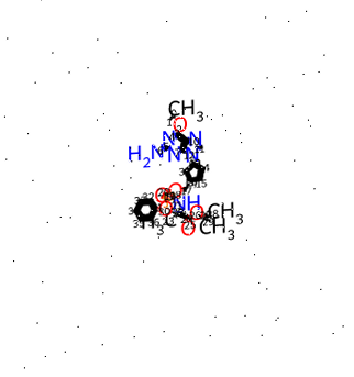 CCOc1nc(N)nc2c1ncn2[C@H]1C=C[C@@H](CO[P@@](=O)(N[C@@H](C)C(=O)OC(C)C)Oc2ccccc2)C1